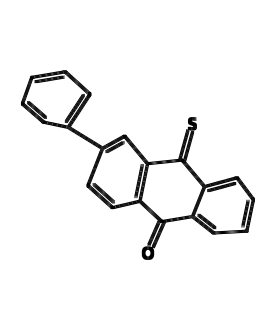 O=C1c2ccccc2C(=S)c2cc(-c3ccccc3)ccc21